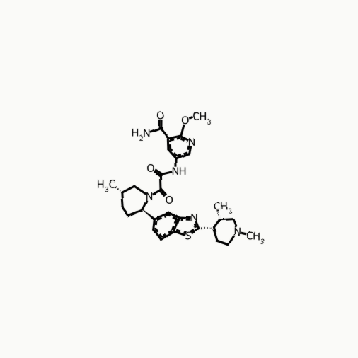 COc1ncc(NC(=O)C(=O)N2C[C@@H](C)CC[C@@H]2c2ccc3sc([C@H]4CCN(C)C[C@H]4C)nc3c2)cc1C(N)=O